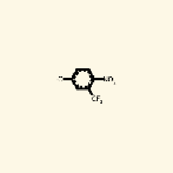 [O]c1ccc([N+](=O)[O-])c(C(F)(F)F)c1